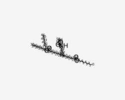 CCCCCCCCCOC(=O)CCCCCCCN(CCCCCCCC(=O)OC(CCCCCCCC)CCCCCCCC)CCCCNC(=O)OC(C)(C)C